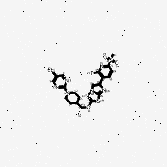 CCc1cnc(N2CCC([C@@H](C)Oc3nn4cc(-c5ccc(S(C)(=O)=O)nc5F)nc4s3)CC2)nc1